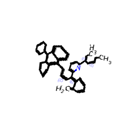 C=c1cccc/c1=C(/C=C\Cc1c2ccccc2c(-c2ccccc2)c2ccccc12)c1cccc(C(/C=C\CC)=C/C)n1